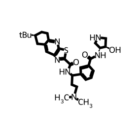 CN(C)CCC(NC(=O)c1nc2cc3c(nc2s1)CC[C@H](C(C)(C)C)C3)c1cccc(C(=O)N[C@@H]2CNC[C@H]2O)c1